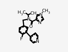 CC(C)N(Cc1ccc(F)c(-c2ccncc2)c1)C(=O)c1cn(C)cn1